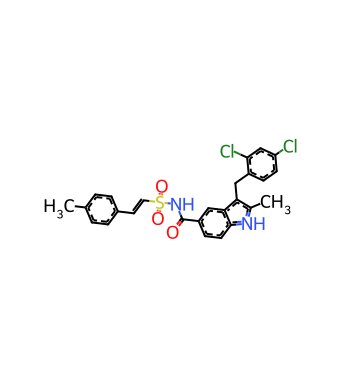 Cc1ccc(/C=C/S(=O)(=O)NC(=O)c2ccc3[nH]c(C)c(Cc4ccc(Cl)cc4Cl)c3c2)cc1